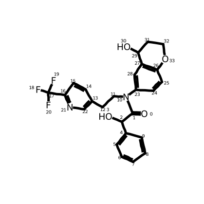 O=C(C(O)c1ccccc1)N(CCc1ccc(C(F)(F)F)nc1)c1ccc2c(c1)C(O)CCO2